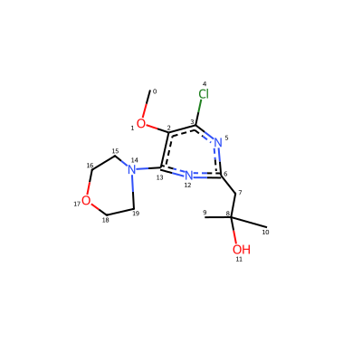 COc1c(Cl)nc(CC(C)(C)O)nc1N1CCOCC1